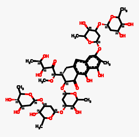 CO[C@H](C(=O)[C@@H](O)[C@@H](C)O)[C@@H]1Cc2cc3cc(O[C@H]4CC(O[C@H]5C[C@@H](O)[C@H](O)C(C)O5)[C@H](O)C(C)O4)c(C)c(O)c3c(O)c2C(=O)[C@H]1O[C@H]1C[C@@H](O[C@H]2C[C@@H](O[C@H]3C[C@@H](O)[C@H](O)C(C)O3)[C@@H](O)C(C)O2)[C@H](O)C(C)O1